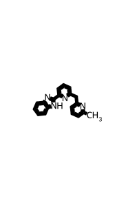 Cc1cccc(Cc2cccc(-c3nc4ccccc4[nH]3)n2)n1